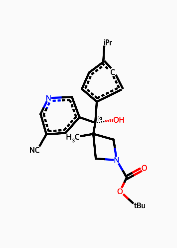 CC(C)c1ccc([C@](O)(c2cncc(C#N)c2)C2(C)CN(C(=O)OC(C)(C)C)C2)cc1